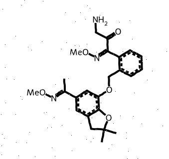 CON=C(C)c1cc2c(c(OCc3ccccc3C(=NOC)C(=O)CN)c1)OC(C)(C)C2